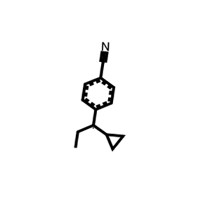 CC[C](c1ccc(C#N)cc1)C1CC1